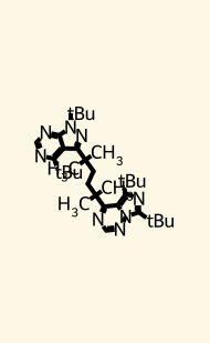 CC(C)(C)c1ncnc2c1c(C(C)(C)CCC(C)(C)c1ncnn3c(C(C)(C)C)nc(C(C)(C)C)c13)nn2C(C)(C)C